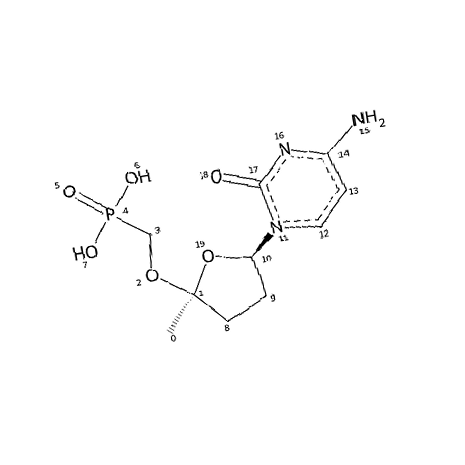 C[C@@]1(OCP(=O)(O)O)CC[C@H](n2ccc(N)nc2=O)O1